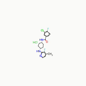 Cc1ccnc(N[C@H]2CC[C@@H](NC(=O)c3ccc(F)c(Cl)c3)CC2)c1F.Cl